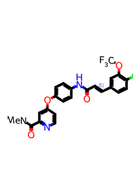 CNC(=O)c1cc(Oc2ccc(NC(=O)/C=C/c3ccc(Cl)c(OC(F)(F)F)c3)cc2)ccn1